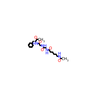 CC(=O)NCCCCCC(=O)NCC(=O)NCC(=O)N[C@@H](Cc1ccccc1)C(C)=O